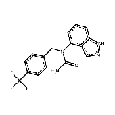 NC(=O)N(Cc1ccc(C(F)(F)F)cc1)c1cccc2[nH]ncc12